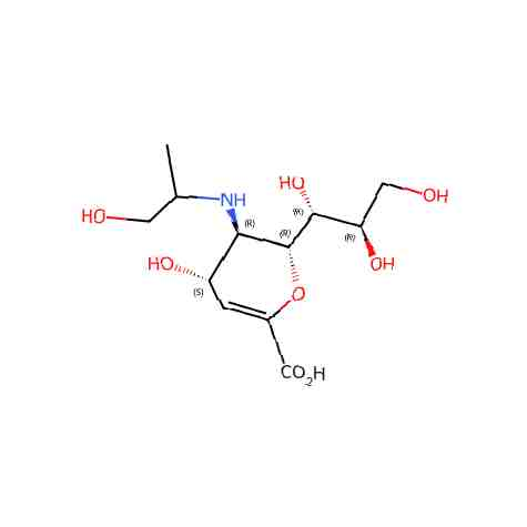 CC(CO)N[C@H]1[C@H]([C@H](O)[C@H](O)CO)OC(C(=O)O)=C[C@@H]1O